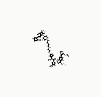 Cc1ncsc1-c1ccc([C@H](C)NC(=O)[C@@H]2C[C@@H](O)CN2C(=O)C(c2cc(OCCCCCCCN3CCC(n4nc(N)c5nnc(-c6ccccc6O)cc54)CC3)no2)C(C)C)cc1